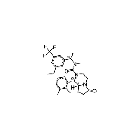 CCc1cc([C@@H](C)N(C)C(=O)N2CCN3C(=O)CC[C@H]3[C@@H]2c2cccc(C)c2C)cc(C(F)(F)F)c1